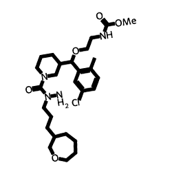 COC(=O)NCCOC(c1cc(Cl)ccc1C)C1CCCN(C(=O)N(N)CCCC2CCCCOC2)C1